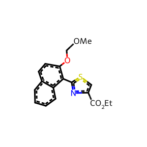 CCOC(=O)c1csc(-c2c(OCOC)ccc3ccccc23)n1